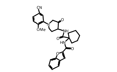 COc1ccc(C#N)cc1N1CCC(NC(=O)C2(NC(=O)c3cc4ccccc4o3)CCCCC2)C(=O)C1